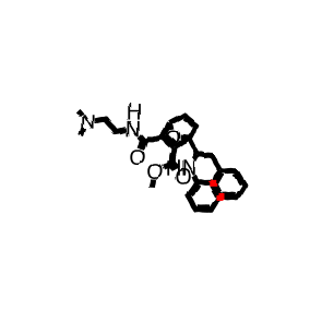 COC(=O)C1=C(C(=O)NCCN(C)C)C2C=CC1(C(Cc1ccccc1)Nc1ccccc1)O2